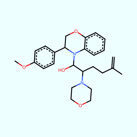 C=C(C)CCC(C(O)N1c2ccccc2OCC1c1ccc(OC)cc1)N1CCOCC1